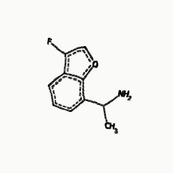 CC(N)c1cccc2c(F)coc12